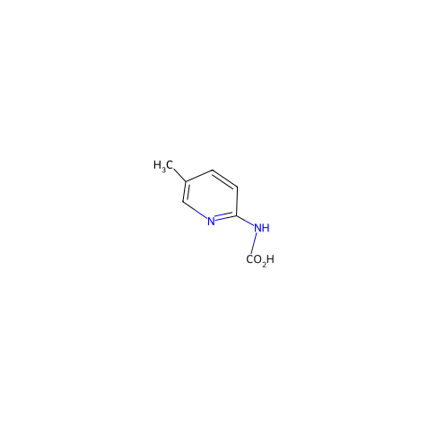 Cc1ccc(NC(=O)O)nc1